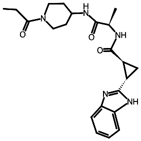 CCC(=O)N1CCC(NC(=O)[C@@H](C)NC(=O)[C@H]2C[C@@H]2c2nc3ccccc3[nH]2)CC1